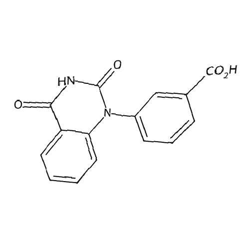 O=C(O)c1cccc(-n2c(=O)[nH]c(=O)c3ccccc32)c1